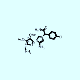 CC(=O)O[C@@H]1[C@H](OC(C)=O)[C@@H](CN)O[C@H]1N1CN(C(C(N)=O)c2ccc(Cl)cc2)C=C1N